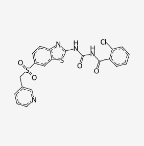 O=C(NC(=O)c1ccccc1Cl)Nc1nc2ccc(S(=O)(=O)Cc3cccnc3)cc2s1